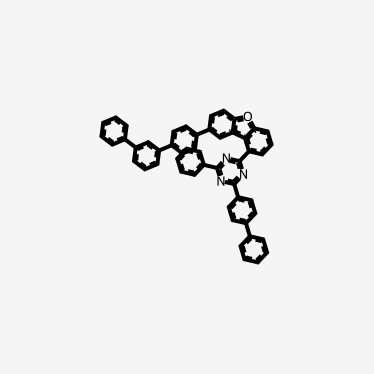 c1ccc(-c2ccc(-c3nc(-c4ccccc4)nc(-c4cccc5oc6ccc(-c7ccc(-c8cccc(-c9ccccc9)c8)cc7)cc6c45)n3)cc2)cc1